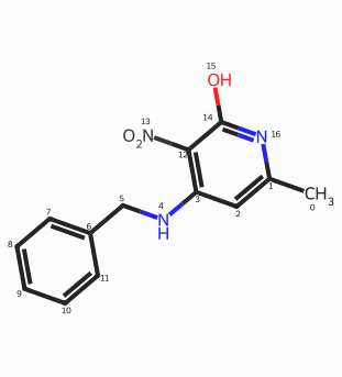 Cc1cc(NCc2ccccc2)c([N+](=O)[O-])c(O)n1